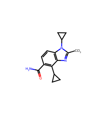 NC(=O)c1ccc2c(nc(C(Cl)(Cl)Cl)n2C2CC2)c1C1CC1